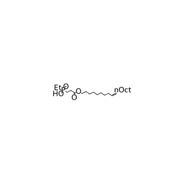 CCCCCCCC/C=C\CCCCCCCCOC(=O)CCP(=O)(O)CC